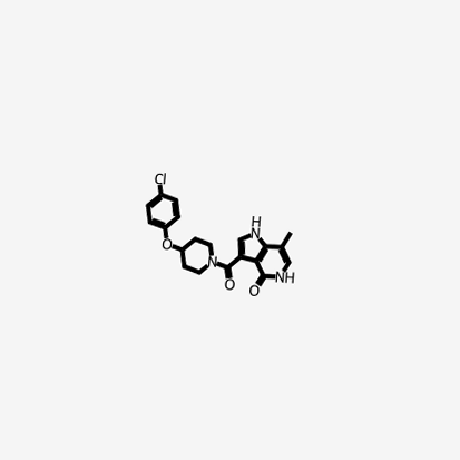 Cc1c[nH]c(=O)c2c(C(=O)N3CCC(Oc4ccc(Cl)cc4)CC3)c[nH]c12